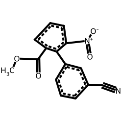 COC(=O)c1cccc([N+](=O)[O-])c1-c1cccc(C#N)c1